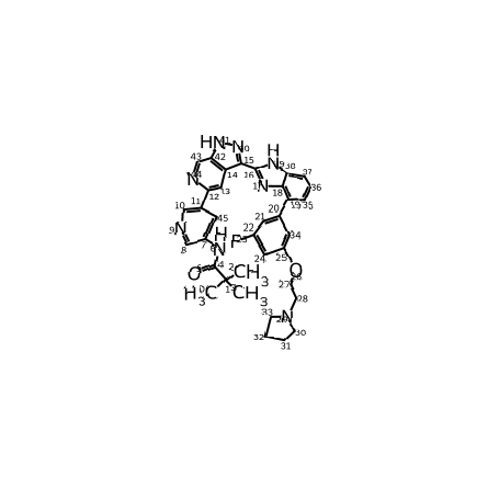 CC(C)(C)C(=O)Nc1cncc(-c2cc3c(-c4nc5c(-c6cc(F)cc(OCCN7CCCC7)c6)cccc5[nH]4)n[nH]c3cn2)c1